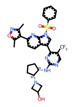 Cc1noc(C)c1-c1ccc2c(-c3nc(N[C@H]4CCC[C@H]4N4CC(O)C4)ncc3C(F)(F)F)cn(S(=O)(=O)c3ccccc3)c2n1